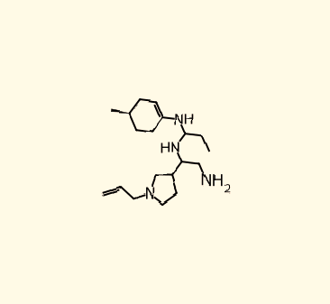 C=CCN1CCC(C(CN)NC(CC)NC2=CC[C@H](C)CC2)C1